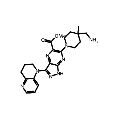 COC(=O)c1nc2c(N3CCCc4ncccc43)n[nH]c2nc1N1CCC(C)(CN)CC1